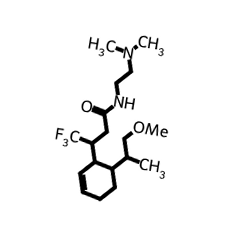 COCC(C)C1CCC=CC1C(CC(=O)NCCN(C)C)C(F)(F)F